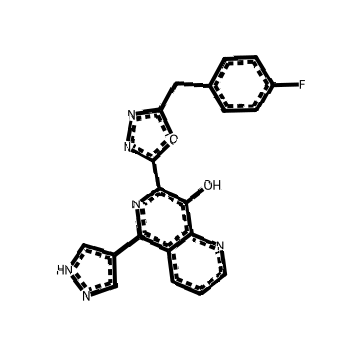 Oc1c(-c2nnc(Cc3ccc(F)cc3)o2)nc(-c2cn[nH]c2)c2cccnc12